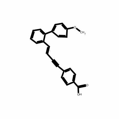 COc1ccc(-c2ccccc2/C=C/C#Cc2ccc(C(=O)O)cc2)cc1